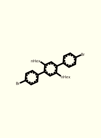 CCCCCCc1cc(-c2ccc(Br)cc2)c(CCCCCC)cc1-c1ccc(Br)cc1